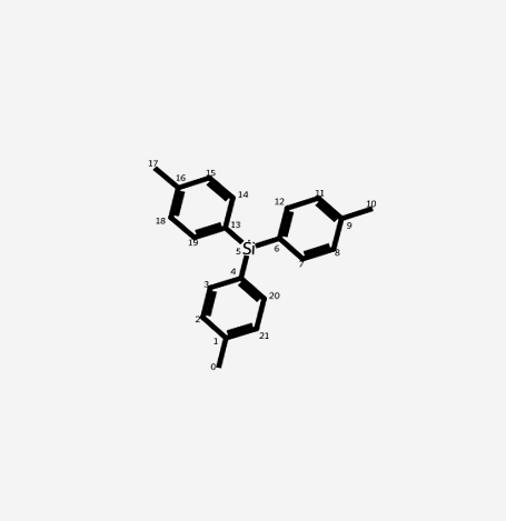 Cc1ccc([Si](c2ccc(C)cc2)c2ccc(C)cc2)cc1